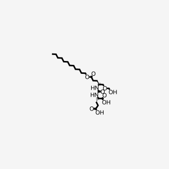 CCCCCCCCCCCCOC(=O)CC[C@@H](COCO)NC(=O)N[C@@H](CCC(=O)O)C(=O)O